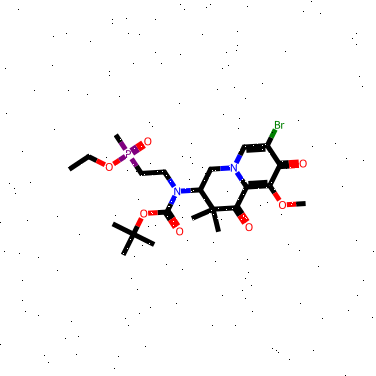 CCOP(C)(=O)CCN(C(=O)OC(C)(C)C)C1Cn2cc(Br)c(=O)c(OC)c2C(=O)C1(C)C